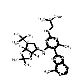 CO[C@H](C)CNc1nc(C)c(-c2nc3c(C)nccc3s2)c(N[C@@H]2C[C@H](C(C)(C)O)[C@H]3OC(C)(C)O[C@H]32)n1